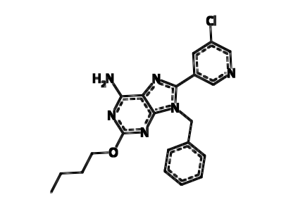 CCCCOc1nc(N)c2nc(-c3cncc(Cl)c3)n(Cc3ccccc3)c2n1